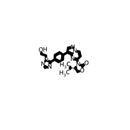 CC(C)[C@H]1COC(=O)N1c1ccn2ncc(-c3ccc(-c4ncnn4CCO)cc3)c2n1